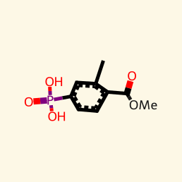 COC(=O)c1ccc(P(=O)(O)O)cc1C